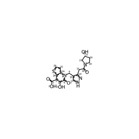 O=C(O)c1c(O)c(=O)n(Cc2c[nH]nc2CC(=O)N2CC[C@@H](O)C2)c2ccsc12